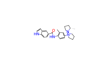 Cc1cc([N+]2(N3CCC[C@@H]3C)CCCC2)ccc1NC(=O)c1ccc2[nH]ccc2c1